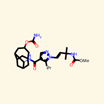 COC(=O)NC(C)(C)/C=C/n1ncc(C(=O)N[C@@H]2C3CC4CC(OC(N)=O)CC2C(C4)C3)c1C(C)C